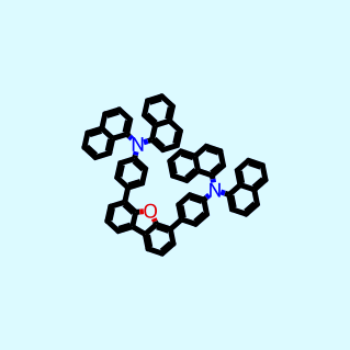 c1ccc2c(N(c3ccc(-c4cccc5c4oc4c(-c6ccc(N(c7cccc8ccccc78)c7cccc8ccccc78)cc6)cccc45)cc3)c3cccc4ccccc34)cccc2c1